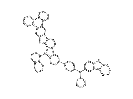 c1ccc(N(c2ccc(-c3ccc4c(c3)c3ccc5c6cc7c8ccccc8c8ccccc8c7cc6sc5c3n4-c3cccc4ccccc34)cc2)c2ccc3sc4ccccc4c3c2)cc1